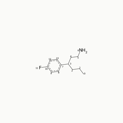 CCCC(CCN)c1ccc(F)cc1